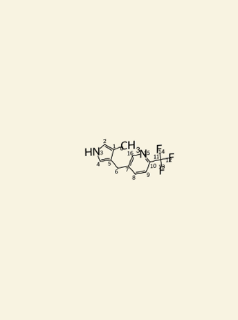 Cc1c[nH]cc1Cc1ccc(C(F)(F)F)nc1